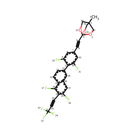 CC12COC(C#Cc3cc(F)c(-c4ccc5c(F)c(C#CC(F)(F)F)c(F)cc5c4)c(F)c3)(OC1)OC2